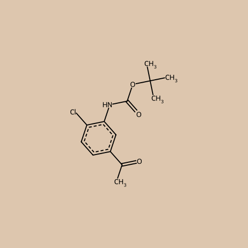 CC(=O)c1ccc(Cl)c(NC(=O)OC(C)(C)C)c1